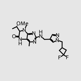 CO[C@@H](C)C1C(=O)Nc2c(C)nc(NCc3cnn(CC4CC(F)(F)C4)c3)nc2N1C